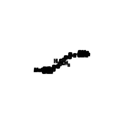 CO[Si](CCCSCCC(=O)OCCOc1ccc(C(C)(C)c2ccc(OCCOC(=O)CCSCCC[Si](OC)(OC)OC)cc2)cc1)(OC)OC